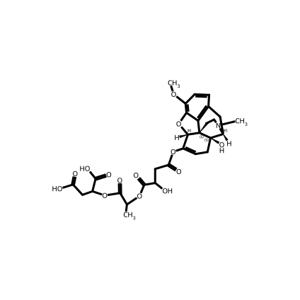 COc1ccc2c3c1O[C@H]1C(OC(=O)CC(O)C(=O)OC(C)C(=O)OC(CC(=O)O)C(=O)O)=CC[C@@]4(O)[C@@H](C2)N(C)CC[C@]314